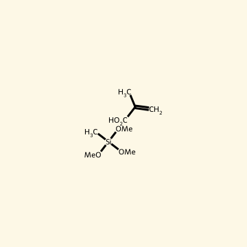 C=C(C)C(=O)O.CO[Si](C)(OC)OC